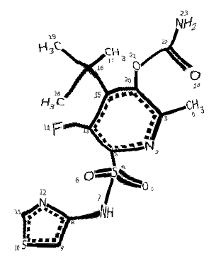 Cc1nc(S(=O)(=O)Nc2cscn2)c(F)c(C(C)(C)C)c1OC(N)=O